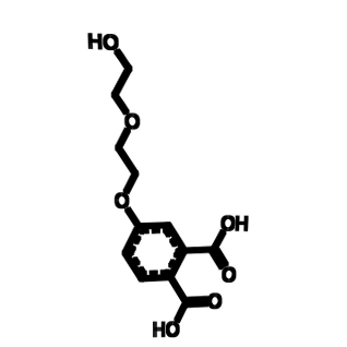 O=C(O)c1ccc(OCCOCCO)cc1C(=O)O